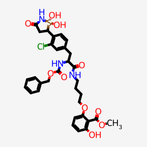 COC(=O)c1c(O)cccc1OCCCCNC(=O)C(Cc1ccc(C2CC(=O)NS2(O)O)c(Cl)c1)NC(=O)OCc1ccccc1